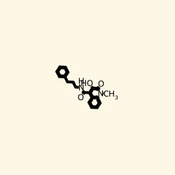 Cn1c(=O)c(O)c(C(=O)NCCCc2ccccc2)c2ccccc21